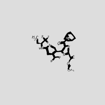 CCOC(=O)c1nc(C(=O)N2C3CCC2CC3)c(-c2cnc(N[C@@H](CC)C(F)(F)F)cc2C(F)F)s1